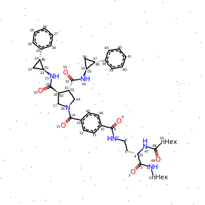 CCCCCCNC(=O)[C@H](CCNC(=O)c1ccc(C(=O)N2C[C@@H](C(=O)N[C@H]3C[C@@H]3c3ccccc3)[C@H](C(=O)N[C@H]3C[C@@H]3c3ccccc3)C2)cc1)NC(=O)CCCCCC